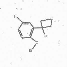 CCOc1ncc(Br)cc1C1(O)COC1